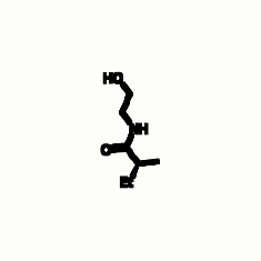 CC[C@H](C)C(=O)NCCO